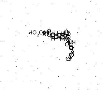 CC(C)C1=C2[C@H]3CC[C@@H]4[C@@]5(C)CC[C@H](OC(=O)[C@H]6C[C@@H](C(=O)O)C6(C)C)C(C)(C)[C@@H]5CC[C@@]4(C)[C@]3(C)CC[C@@]2(NC(=O)C(C)(C)NC(=O)c2ccc(CN3CCS(=S=O)CC3)cc2)CC1=O